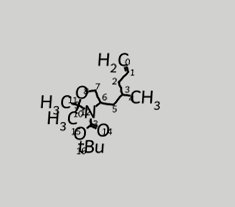 C=CCC(C)CC1COC(C)(C)N1C(=O)OC(C)(C)C